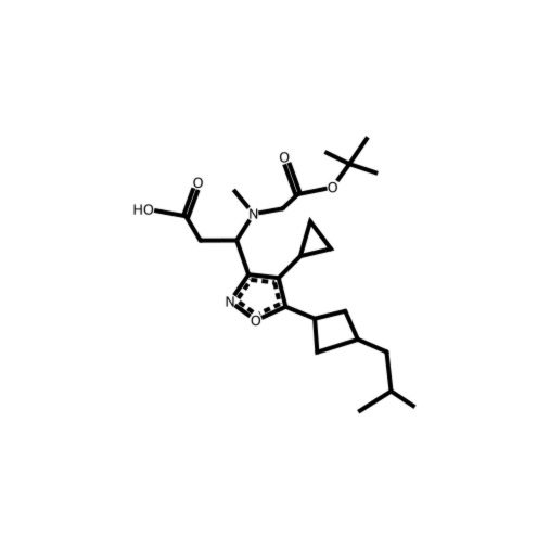 CC(C)CC1CC(c2onc(C(CC(=O)O)N(C)CC(=O)OC(C)(C)C)c2C2CC2)C1